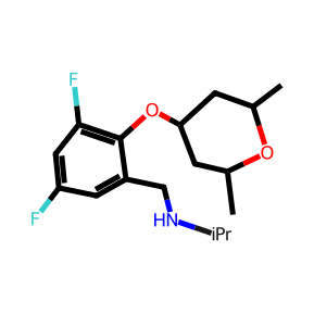 CC(C)NCc1cc(F)cc(F)c1OC1CC(C)OC(C)C1